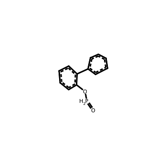 O=[PH2]Oc1ccccc1-c1ccccc1